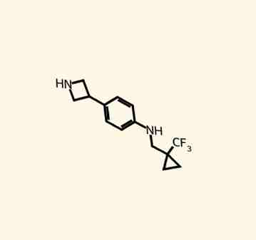 FC(F)(F)C1(CNc2ccc(C3CNC3)cc2)CC1